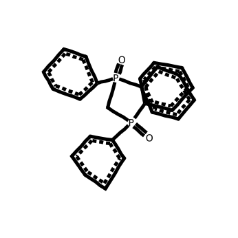 O=P(CP(=O)(c1ccccc1)c1ccccc1)(c1ccccc1)c1ccccc1